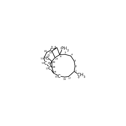 CC1CCCCC2(P)C3CCCCCC(CCC1)C1CC1(S)C2C3